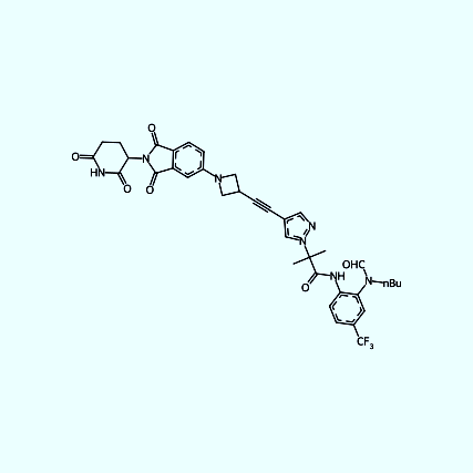 CCCCN(C=O)c1cc(C(F)(F)F)ccc1NC(=O)C(C)(C)n1cc(C#CC2CN(c3ccc4c(c3)C(=O)N(C3CCC(=O)NC3=O)C4=O)C2)cn1